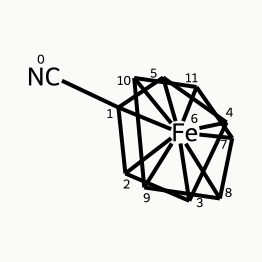 N#C[C]12[CH]3[CH]4[CH]5[CH]1[Fe]45321678[CH]2[CH]1[CH]6[CH]7[CH]28